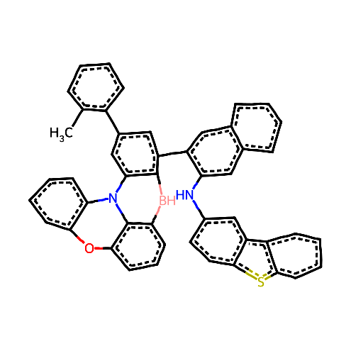 Cc1ccccc1-c1cc(-c2cc3ccccc3cc2Nc2ccc3sc4ccccc4c3c2)c2c(c1)N1c3ccccc3Oc3cccc(c31)B2